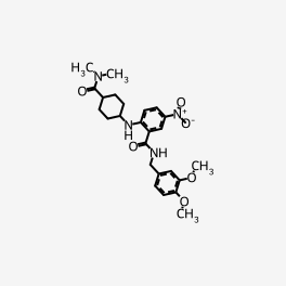 COc1ccc(CNC(=O)c2cc([N+](=O)[O-])ccc2NC2CCC(C(=O)N(C)C)CC2)cc1OC